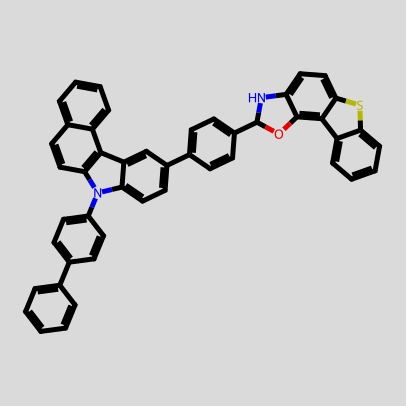 c1ccc(-c2ccc(-n3c4ccc(-c5ccc(C6Nc7ccc8sc9ccccc9c8c7O6)cc5)cc4c4c5ccccc5ccc43)cc2)cc1